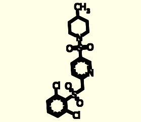 CC1CCN(S(=O)(=O)c2ccc(CS(=O)(=O)c3c(Cl)cccc3Cl)nc2)CC1